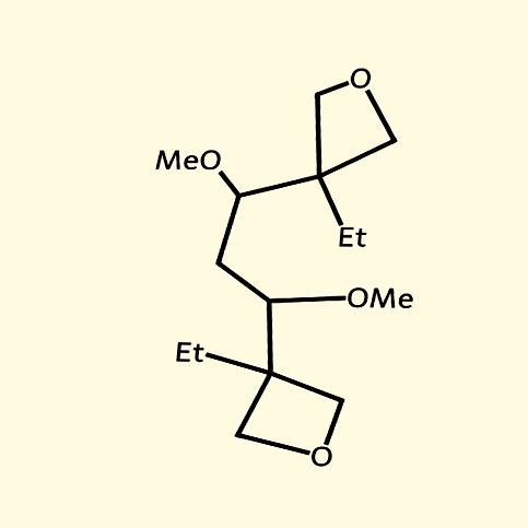 CCC1(C(CC(OC)C2(CC)COC2)OC)COC1